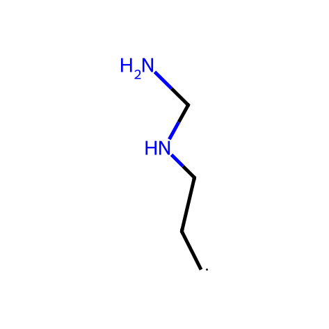 [CH2]CCNCN